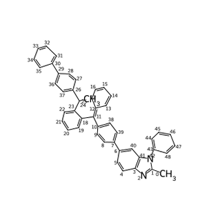 Cc1nc2ccc(-c3ccc(/C(=C4\C=CC=CC4)c4ccccc4C(C)c4ccc(-c5ccccc5)cc4)cc3)cc2n1-c1ccccc1